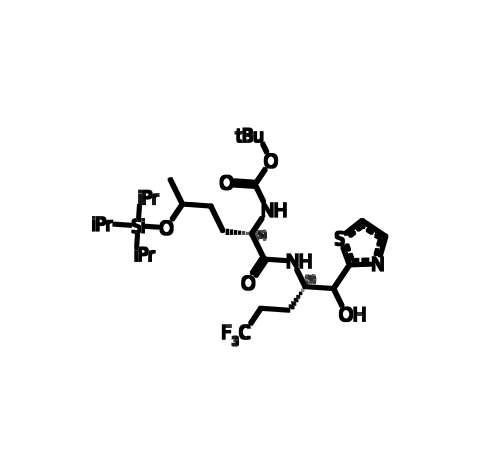 CC(CC[C@H](NC(=O)OC(C)(C)C)C(=O)N[C@@H](CCC(F)(F)F)C(O)c1nccs1)O[Si](C(C)C)(C(C)C)C(C)C